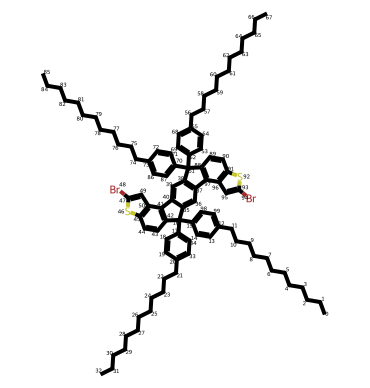 CCCCCCCCCCCCc1ccc(C2(c3ccc(CCCCCCCCCCCC)cc3)c3cc4c(cc3-c3c2ccc2sc(Br)cc32)C(c2ccc(CCCCCCCCCCCC)cc2)(c2ccc(CCCCCCCCCCCC)cc2)c2ccc3sc(Br)cc3c2-4)cc1